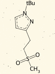 CC(C)(C)n1ccc(CCS(C)(=O)=O)n1